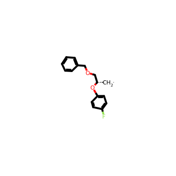 [CH2][C@@H](COCc1ccccc1)Oc1ccc(F)cc1